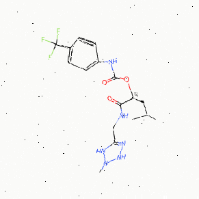 CC(C)C[C@H](OC(=O)Nc1ccc(C(F)(F)F)cc1)C(=O)NCC1=NNN(C)N1